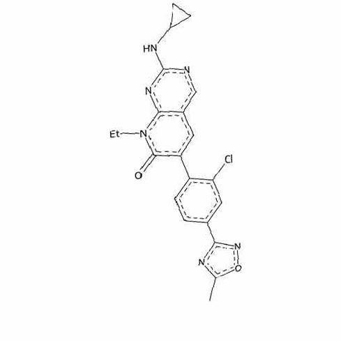 CCn1c(=O)c(-c2ccc(-c3noc(C)n3)cc2Cl)cc2cnc(NC3CC3)nc21